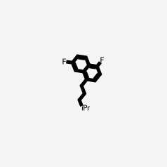 CC(C)CCCc1ccc(F)c2ccc(F)cc12